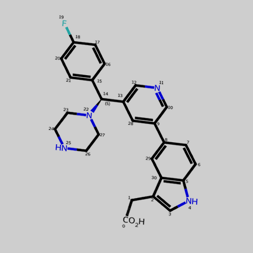 O=C(O)Cc1c[nH]c2ccc(-c3cncc([C@H](c4ccc(F)cc4)N4CCNCC4)c3)cc12